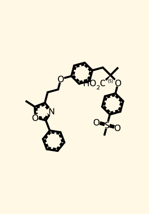 Cc1oc(-c2ccccc2)nc1CCOc1ccc(C[C@](C)(Oc2ccc(S(C)(=O)=O)cc2)C(=O)O)cc1